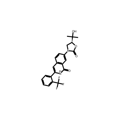 CC(C)(O)[C@@H]1CN(c2ccc3cc(-c4ccccc4C(F)(F)F)[nH]c(=O)c3c2)C(=O)O1